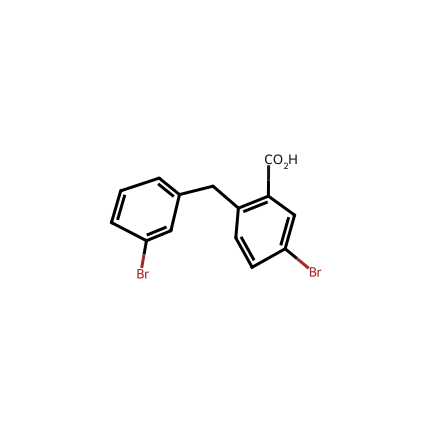 O=C(O)c1cc(Br)ccc1Cc1cccc(Br)c1